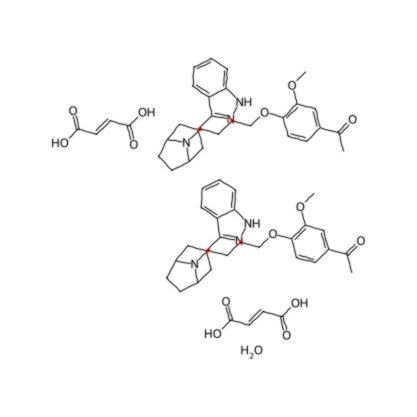 COc1cc(C(C)=O)ccc1OCCCCN1C2CCC1CC(c1n[nH]c3ccccc13)C2.COc1cc(C(C)=O)ccc1OCCCCN1C2CCC1CC(c1n[nH]c3ccccc13)C2.O.O=C(O)C=CC(=O)O.O=C(O)C=CC(=O)O